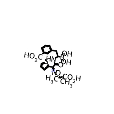 CC(C)(O/N=C(\C(=O)NC(Cc1cccc(C(=O)O)c1)B(O)O)c1cccs1)C(=O)O